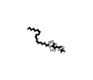 CCCCC/C=C\C/C=C\C/C=C\CCCCC(=O)OC1=C(O)C(C2COC(C)(C)O2)OC1=O